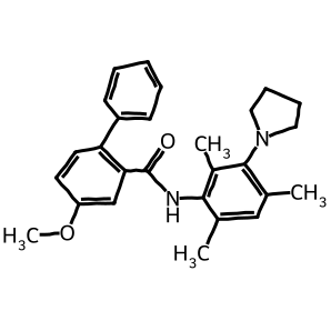 COc1ccc(-c2ccccc2)c(C(=O)Nc2c(C)cc(C)c(N3CCCC3)c2C)c1